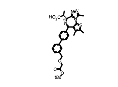 Cc1sc2c(c1C)C(c1ccc(-c3cccc(COCC(=O)OC(C)(C)C)c3)cc1)=N[C@@H](C(C)C(=O)O)c1nnc(C)n1-2